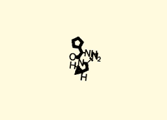 N#C[C@@H]1C[C@H]2C[C@H]2N1C(=O)[C@@H](N)C1CCCC1